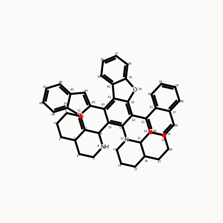 C1=C2C(CCC1)CCNC2c1c(N2CCCC3CCCCC32)c(-c2nccc3ccccc23)c2oc3ccccc3c2c1-c1cc2ccccc2o1